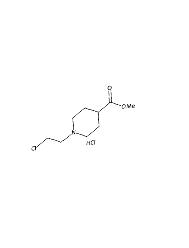 COC(=O)C1CCN(CCCl)CC1.Cl